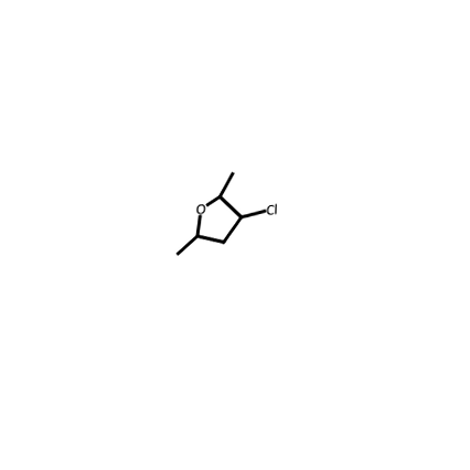 CC1CC(Cl)C(C)O1